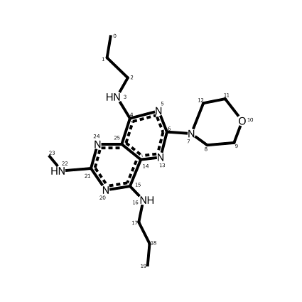 CCCNc1nc(N2CCOCC2)nc2c(NCCC)nc(NC)nc12